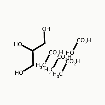 CC(=O)O.CC(=O)O.CC(=O)O.O=C(O)O.OCC(O)CO